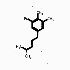 Cc1cc(CCC[C@H](C)N)cc(C(C)C)c1C